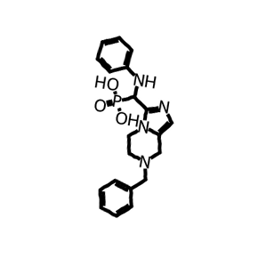 O=P(O)(O)C(Nc1ccccc1)c1ncc2n1CCN(Cc1ccccc1)C2